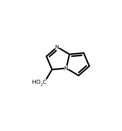 O=C(O)C1C=Nc2cccn21